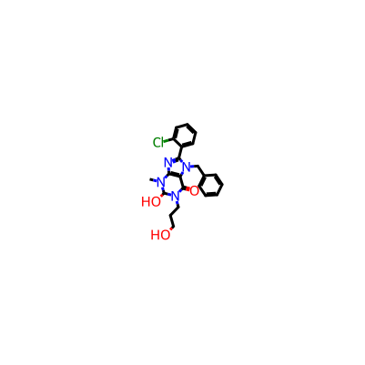 CN1c2nc(-c3ccccc3Cl)n(Cc3ccccc3)c2C(=O)N(CCCO)C1O